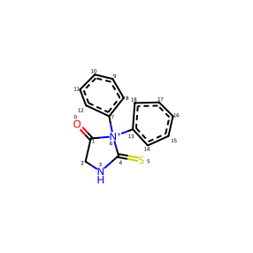 O=C1CNC(=S)[N+]1(c1ccccc1)c1ccccc1